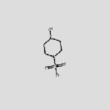 CCS(=O)(=O)N1CCN(C(C)=O)CC1